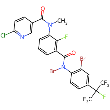 CN(C(=O)c1ccc(Cl)nc1)c1cccc(C(=O)N(Br)c2ccc(C(F)(C(F)(F)F)C(F)(F)F)cc2Br)c1F